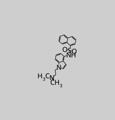 CN(C)CCn1ccc2c(NS(=O)(=O)c3cccc4ccccc34)cccc21